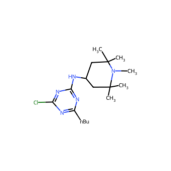 CCCCc1nc(Cl)nc(NC2CC(C)(C)N(C)C(C)(C)C2)n1